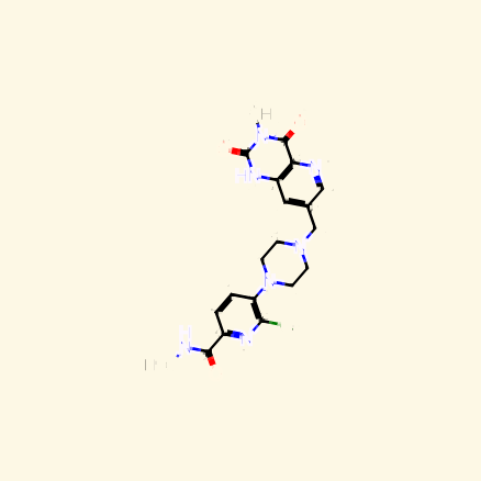 CNC(=O)c1ccc(N2CCN(Cc3cnc4c(=O)n(C)c(=O)[nH]c4c3)CC2)c(Cl)n1